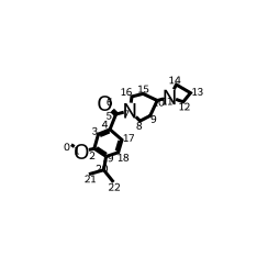 COc1cc(C(=O)N2CCC(N3CCC3)CC2)ccc1C(C)C